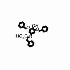 O=C(O)C(Cc1ccccc1)Oc1cc(OCc2ccccc2)c(O)c(OCc2ccccc2)c1